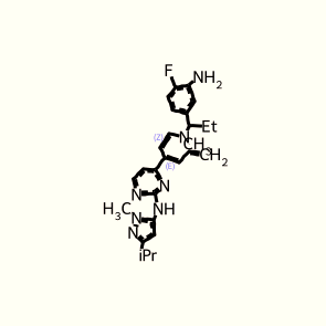 C=C/C=C(\C=C/N(C)C(CC)c1ccc(F)c(N)c1)c1ccnc(Nc2cc(C(C)C)nn2C)n1